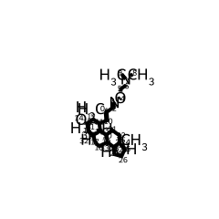 CC(/C=N/OCCN(C)C)=C\C1C[C@H](O)C[C@H]2CC[C@@H]3[C@H](CC[C@]4(C)CCC[C@]34O)[C@@]12C